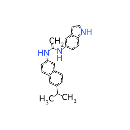 C=C(Nc1ccc2cc(C(C)C)ccc2c1)Nc1ccc2[nH]ccc2c1